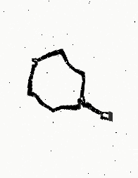 ClN1CCSCC1